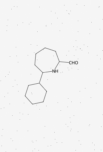 O=CC1CCCCC(C2CCCCC2)N1